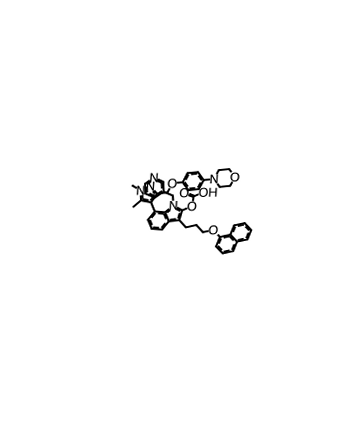 Cc1c(-c2cccc3c(CCCOc4cccc5ccccc45)c(OC(=O)O)n(Cc4cccnc4)c23)c(COc2ccc(N3CCOCC3)cc2)nn1C